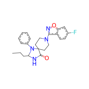 CCCC1NC(=O)C2(CCN(c3noc4cc(F)ccc34)CC2)N1c1ccccc1